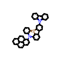 c1ccc2c(c1)N(c1ccc3ccc4cccc5ccc1c3c45)c1cccc3c1[SH]2c1cc(-n2c4ccccc4c4ccccc42)ccc1-3